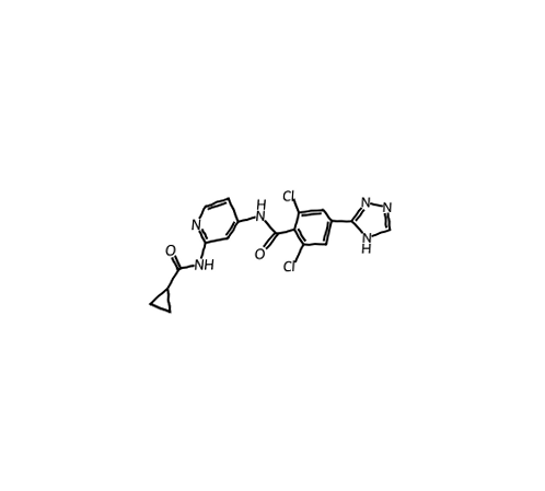 O=C(Nc1ccnc(NC(=O)C2CC2)c1)c1c(Cl)cc(-c2nnc[nH]2)cc1Cl